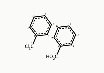 ClC(Cl)(Cl)c1ccccc1.O=C(O)c1ccccc1